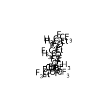 CCC(C)(OC(F)(F)C(F)(C(F)(F)F)C(C)(CC)OC(F)(F)C(F)(F)OC(C)(CC)C(F)(C(F)(F)F)C(F)(F)OC(C)(CC)C(C)(F)C(F)(F)F)C(C)(F)C(F)(F)F